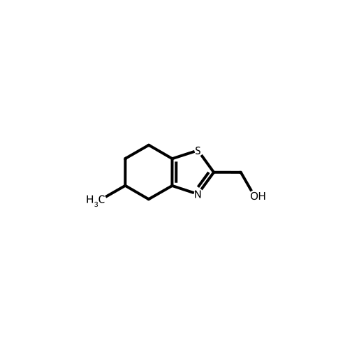 CC1CCc2sc(CO)nc2C1